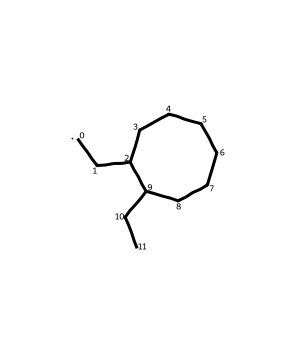 [CH2]CC1CCCCCCC1CC